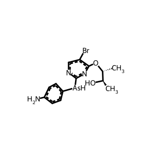 C[C@@H](O)[C@@H](C)Oc1nc([AsH]c2ccc(N)cc2)ncc1Br